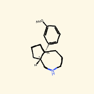 COc1cccc([C@]23CCCNC[C@@H]2CCC3)c1